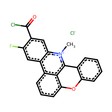 C[n+]1c2c3c(cccc3c3cc(F)c(C(=O)Cl)cc31)Oc1ccccc1-2.[Cl-]